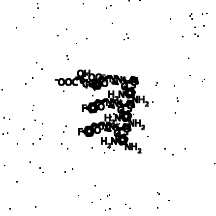 Nc1ccc(OC(C[n+]2ccn(CC3Cc4cc(F)ccc4O3)c2)c2cccs2)c(N)c1.Nc1ccc(OC(C[n+]2ccn(CC3Cc4cc(F)ccc4O3)c2)c2cccs2)c(N)c1.Nc1ccc(OC(C[n+]2ccn(CC3Cc4cc(F)ccc4O3)c2)c2cccs2)c(N)c1.O=C([O-])CC(O)(CC(=O)[O-])C(=O)[O-]